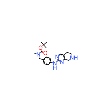 CN(Cc1ccc(Nc2ncc3c(n2)CNCC3)cc1)C(=O)OC(C)(C)C